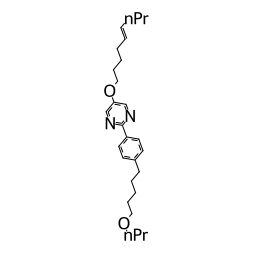 CCCC=CCCCCOc1cnc(-c2ccc(CCCCCOCCC)cc2)nc1